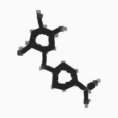 O=[N+]([O-])c1ccc(Oc2cc(Cl)c(Br)cc2Cl)cc1